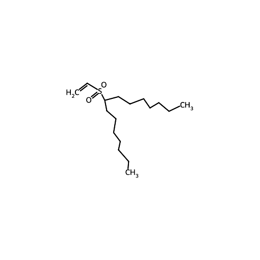 C=CS(=O)(=O)C(CCCCCCC)CCCCCCC